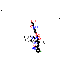 CCN(CC)CCN(C(=O)OCCCCNC(=O)CCO)C(=O)c1c(C)[nH]c(/C=C2\C(=O)Nc3ccc(F)cc32)c1C